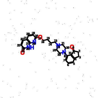 O=C1CCc2cccc(N3CCN(CCCCOc4ccc5ccc(=O)[nH]c5n4)CC3)c21